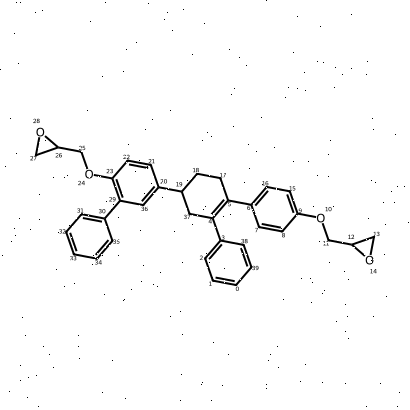 c1ccc(C2=C(c3ccc(OCC4CO4)cc3)CCC(c3ccc(OCC4CO4)c(-c4ccccc4)c3)C2)cc1